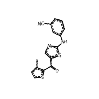 Cc1ccsc1C(=O)c1cnc(Nc2cccc(C#N)c2)s1